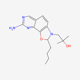 CCCCC1Oc2c(ccc3cnc(N)nc23)N1CC(C)(C)O